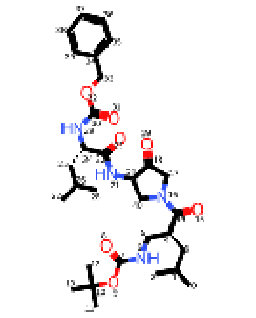 CC(C)C[C@@H](CNC(=O)OC(C)(C)C)C(=O)N1CC(=O)C(NC(=O)[C@H](CC(C)C)NC(=O)OCc2ccccc2)C1